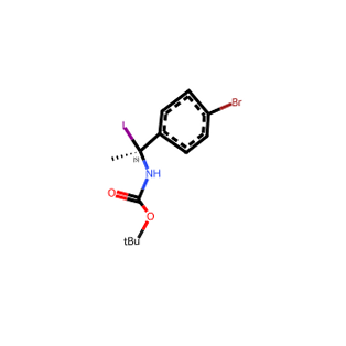 CC(C)(C)OC(=O)N[C@@](C)(I)c1ccc(Br)cc1